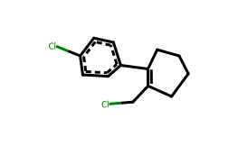 ClCC1=C(c2ccc(Cl)cc2)CCCC1